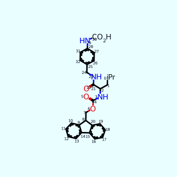 CC(C)CC(NC(=O)OCC1c2ccccc2-c2ccccc21)C(=O)NCc1ccc(NC(=O)O)cc1